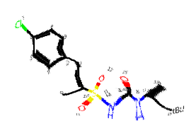 C/C(=C\c1ccc(Cl)cc1)S(=O)(=O)NC(=O)NC(C)C(C)(C)C